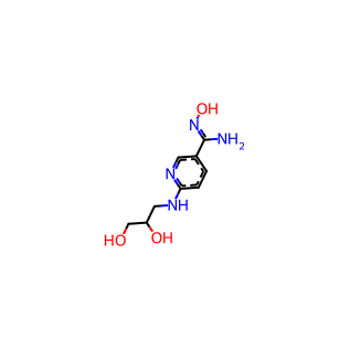 N/C(=N\O)c1ccc(NCC(O)CO)nc1